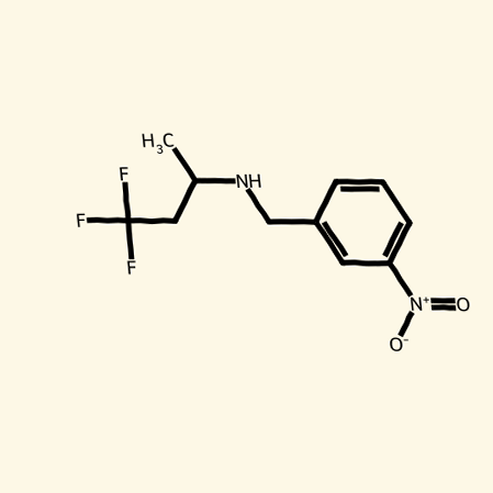 CC(CC(F)(F)F)NCc1cccc([N+](=O)[O-])c1